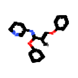 C/C(=C\Oc1ccccc1)C(=Nc1cccnc1)Oc1ccccc1